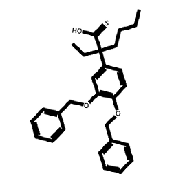 CCCCC(CC)(C(O)=S)c1ccc(OCc2ccccc2)c(OCc2ccccc2)c1